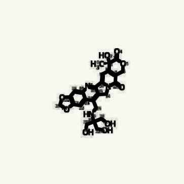 C[C@@]1(O)C(=O)OCc2c1cc1n(c2=O)Cc2c-1nc1cc3c(cc1c2CNC(CO)(CO)CO)OCO3